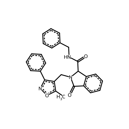 Cc1onc(-c2ccccc2)c1CN1C(=O)c2ccccc2C1C(=O)NCc1ccccc1